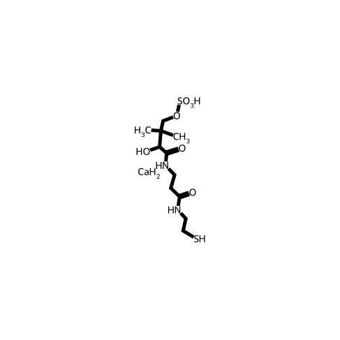 CC(C)(COS(=O)(=O)O)C(O)C(=O)NCCC(=O)NCCS.[CaH2]